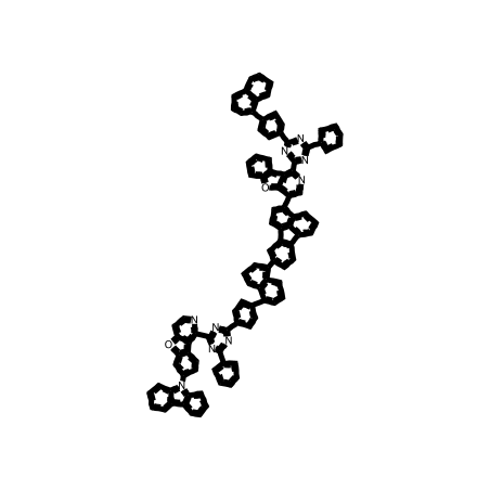 c1ccc(-c2nc(-c3ccc(-c4cccc5c(-c6ccc7c(c6)-c6ccc(-c8cnc(-c9nc(-c%10ccccc%10)nc(-c%10ccc(-c%11cccc%12ccccc%11%12)cc%10)n9)c9c8oc8ccccc89)c8cccc-7c68)cccc45)cc3)nc(-c3nccc4oc5cc(-n6c7ccccc7c7ccccc76)ccc5c34)n2)cc1